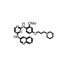 COc1cc(OCCCN2CCCCC2)ccc1Nc1nccc(Nc2cnc3ccccc3c2)n1